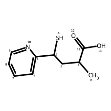 CC(CC(S)c1ccccn1)C(=O)O